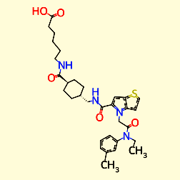 CCN(C(=O)Cn1c(C(=O)NC[C@H]2CC[C@H](C(=O)NCCCCCC(=O)O)CC2)cc2sccc21)c1cccc(C)c1